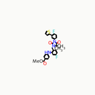 COC(=O)c1ccc(Nc2cc(F)ccc2CN2C(=O)N(c3ccc(F)c(-c4cccs4)c3)C(=O)C2(C)C)cc1